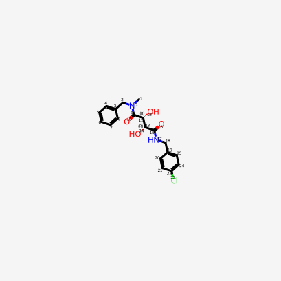 CN(Cc1ccccc1)C(=O)[C@H](O)[C@@H](O)C(=O)NCc1ccc(Cl)cc1